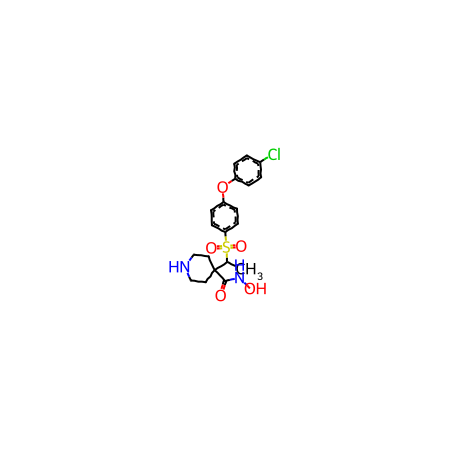 CC(C1(C(=O)NO)CCNCC1)S(=O)(=O)c1ccc(Oc2ccc(Cl)cc2)cc1